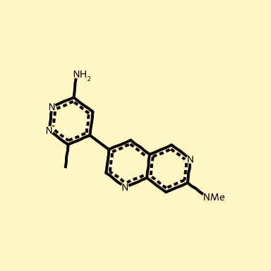 CNc1cc2ncc(-c3cc(N)nnc3C)cc2cn1